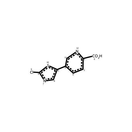 O=C(O)c1ccc(-c2cnc(Cl)s2)cn1